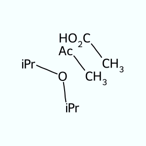 CC(=O)O.CC(C)=O.CC(C)OC(C)C